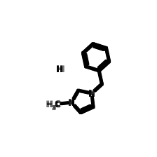 CN1C=CN(Cc2ccccc2)C1.I